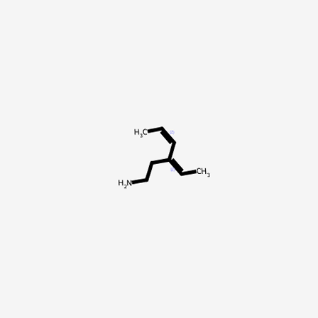 C/C=C\C(=C/C)CCN